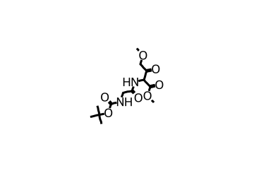 COCC(=O)C(NC(=O)CNC(=O)OC(C)(C)C)C(=O)OC